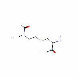 CNC(CSCCN(C)C(C)=O)C(C)=O